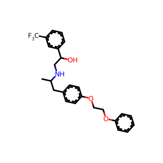 CC(Cc1ccc(OCCOc2ccccc2)cc1)NCC(O)c1cccc(C(F)(F)F)c1